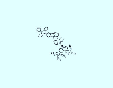 CC(C)(C)c1ccc2c(c1)c1cc(C(C)(C)C)ccc1n2C1=C2CCCCC2C(c2cccc3c2sc2ccc(-c4c5ccccc5c(-c5ccccc5)c5ccccc45)cc23)c2ccccc21